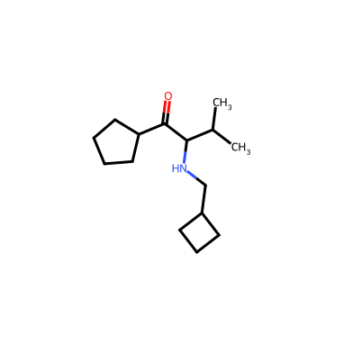 CC(C)C(NCC1CCC1)C(=O)C1CCCC1